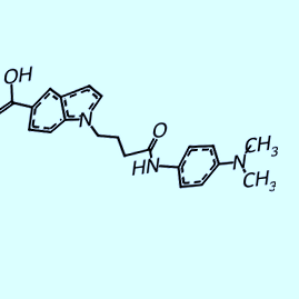 CN(C)c1ccc(NC(=O)CCCn2ccc3cc(C(=O)O)ccc32)cc1